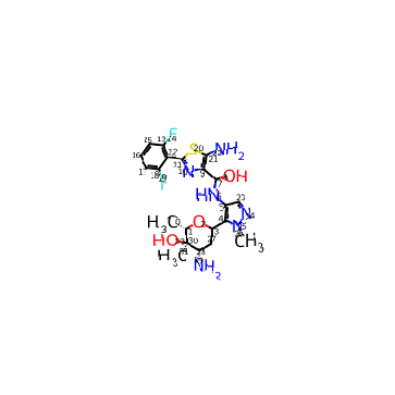 C[C@@H]1OC(c2c(NC(O)c3nc(-c4c(F)cccc4F)sc3N)cnn2C)C[C@H](N)[C@@]1(C)O